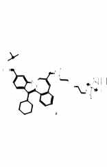 COc1ccc2c(c1)C=C(C(=O)N(C)CCOCCN(C)S(N)(=O)=O)Cn1c-2c(C2CCCCC2)c2ccc(C(=O)OC(C)(C)C)cc21